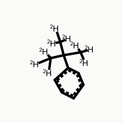 [2H]C([2H])([2H])C(c1ccccc1)(C([2H])([2H])[2H])C([2H])([2H])[2H]